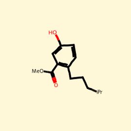 COC(=O)c1cc(O)ccc1CCCC(C)C